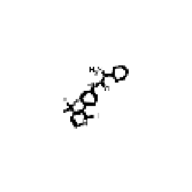 NC(C(=O)Nc1ccc(-c2c(C(F)(F)F)ccnc2Cl)cc1)C1CCCCC1